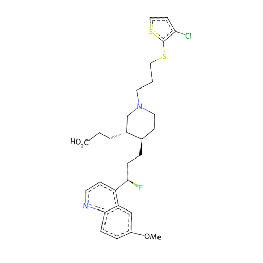 COc1ccc2nccc([C@H](F)CC[C@@H]3CCN(CCCSc4sccc4Cl)C[C@H]3CCC(=O)O)c2c1